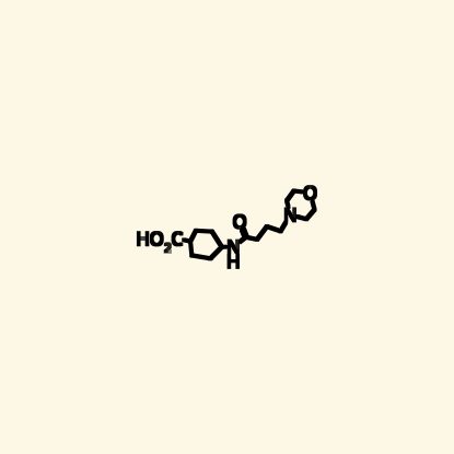 O=C(CCCN1CCOCC1)NC1CCC(C(=O)O)CC1